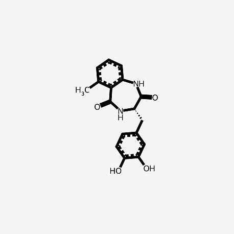 Cc1cccc2c1C(=O)N[C@@H](Cc1ccc(O)c(O)c1)C(=O)N2